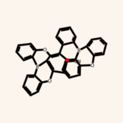 N#Cc1cc2c3c(c1-c1ccccc1B1c4ccccc4Oc4ccccc41)Oc1ccccc1B3c1ccccc1O2